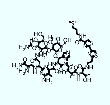 Cc1c(N)nc([C@H](CC(N)=O)NC[C@H](N)C(N)=O)nc1C(=O)N[C@H](C(=O)N[C@@H](C)[C@@H](O)[C@H](C)C(=O)N[C@H](C(=O)NCCc1nc(-c2nc(C(=O)NCCC[S+](C)C)cs2)cs1)[C@@H](C)O)[C@@H](O[C@@H]1O[C@@H](CO)[C@@H](O)[C@@H](O)[C@@H]1O[C@H]1O[C@H](CO)[C@@H](O)[C@H](OC(N)=O)[C@@H]1O)c1cnc[nH]1